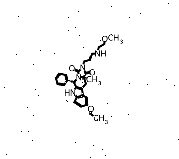 CCOc1ccc2[nH]c3c(c2c1)C[C@@]1(C)C(=O)N(CCCNCCOC)C(=O)N1[C@@H]3c1ccccc1